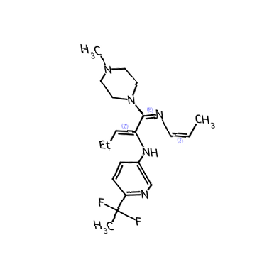 C\C=C/N=C(\C(=C\CC)Nc1ccc(C(C)(F)F)nc1)N1CCN(C)CC1